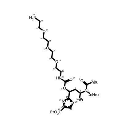 CCCCCCN(C(=O)CCCC)C(CC(OC(=O)NCCOCCOCCOCCN)c1nc(C(=O)OCC)cs1)C(C)C